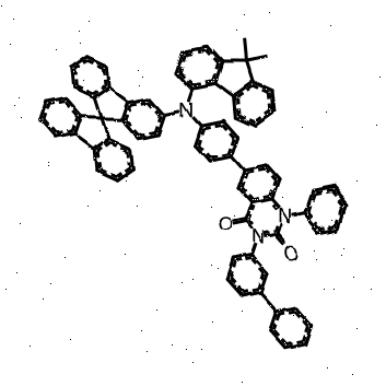 CC1(C)c2ccccc2-c2c(N(c3ccc(-c4ccc5c(c4)c(=O)n(-c4cccc(-c6ccccc6)c4)c(=O)n5-c4ccccc4)cc3)c3ccc4c(c3)-c3ccccc3C43c4ccccc4-c4ccccc43)cccc21